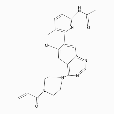 C=CC(=O)N1CCN(c2ncnc3cc(-c4nc(NC(C)=O)ccc4C)c(Cl)cc23)CC1